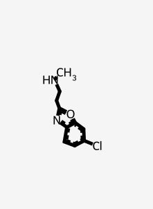 CNCCc1nc2ccc(Cl)cc2o1